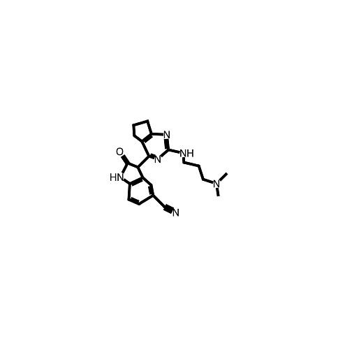 CN(C)CCCNc1nc2c(c(C3C(=O)Nc4ccc(C#N)cc43)n1)CCC2